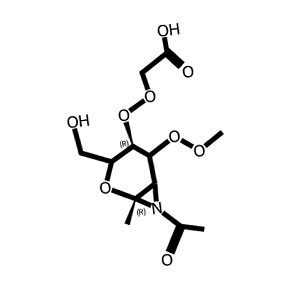 COOC1C2N(C(C)=O)[C@]2(C)OC(CO)[C@H]1OOCC(=O)O